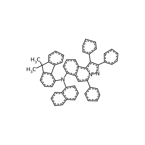 CC1(C)c2ccccc2-c2c(N(c3cccc4ccccc34)c3cccc4c3cc(-c3ccccc3)n3nc(-c5ccccc5)c(-c5ccccc5)c43)cccc21